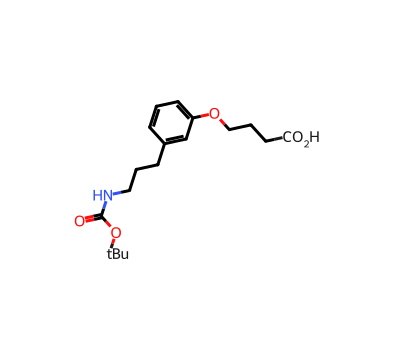 CC(C)(C)OC(=O)NCCCc1cccc(OCCCC(=O)O)c1